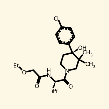 CCOCC(=O)N[C@@H](C(=O)N1CC[C@](O)(c2ccc(Cl)cc2)C(C)(C)C1)C(C)C